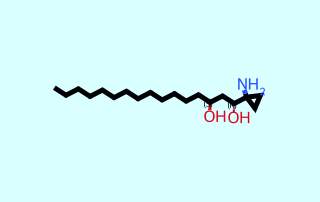 CCCCCCCCCCCCC[C@H](O)C[C@@H](O)C1(N)CC1